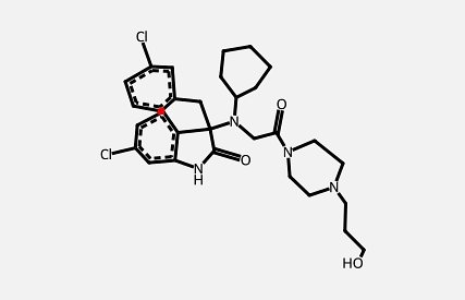 O=C(CN(C1CCCCC1)C1(Cc2cccc(Cl)c2)C(=O)Nc2cc(Cl)ccc21)N1CCN(CCCO)CC1